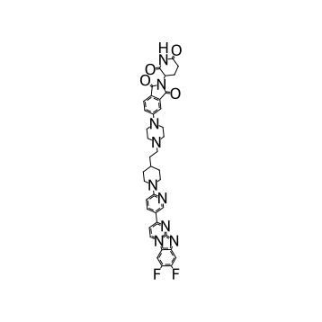 O=C1CCC(N2C(=O)c3ccc(N4CCN(CCC5CCN(c6ccc(-c7ccn8c(n7)nc7cc(F)c(F)cc78)cn6)CC5)CC4)cc3C2=O)C(=O)N1